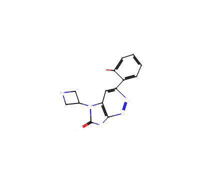 O=c1[nH]c2nnc(-c3ccccc3O)cc2n1C1CNC1